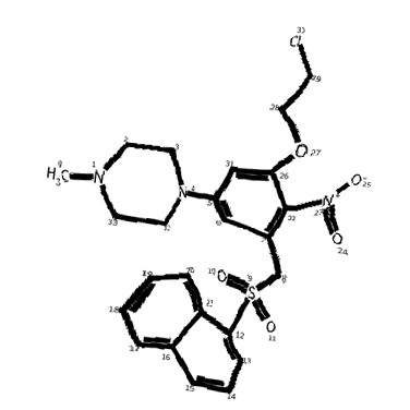 CN1CCN(c2cc(CS(=O)(=O)c3cccc4ccccc34)c([N+](=O)[O-])c(OCCCl)c2)CC1